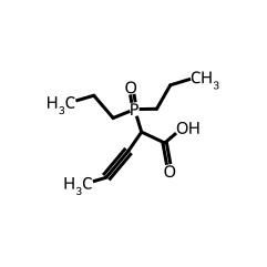 CC#CC(C(=O)O)P(=O)(CCC)CCC